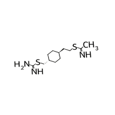 CC(=N)SCC[C@H]1CC[C@H](CSC(=N)N)CC1